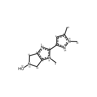 Cc1cc(-c2nc3c(n2C)CN(O)C3)nn1C